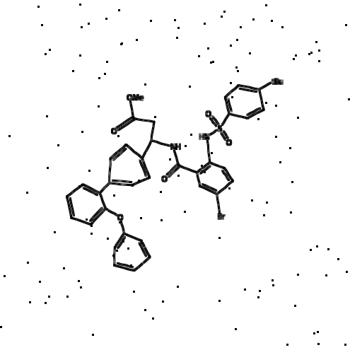 COC(=O)CC(NC(=O)c1cc(Br)ccc1NS(=O)(=O)c1ccc(C(C)(C)C)cc1)c1ccc(-c2ccccc2Oc2ccccc2)cc1